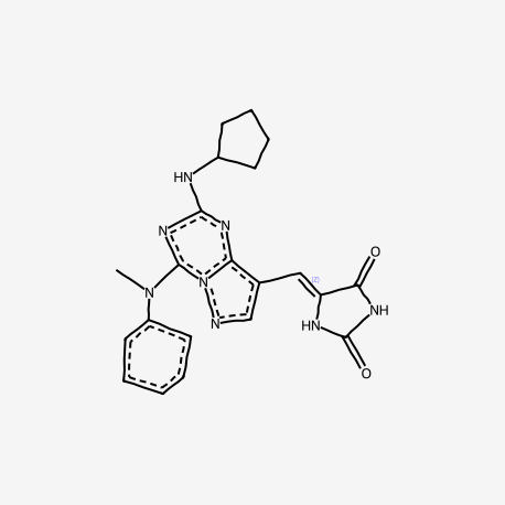 CN(c1ccccc1)c1nc(NC2CCCC2)nc2c(/C=C3\NC(=O)NC3=O)cnn12